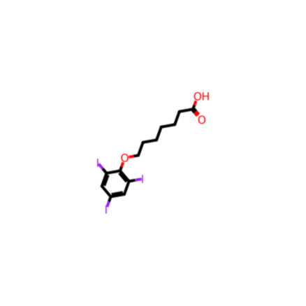 O=C(O)CCCCCCOc1c(I)cc(I)cc1I